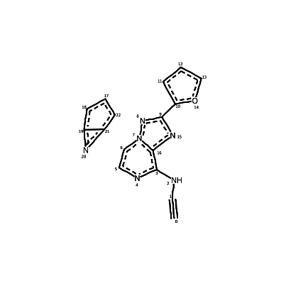 C#CNc1nccn2nc(-c3ccco3)nc12.c1cc2nc-2c1